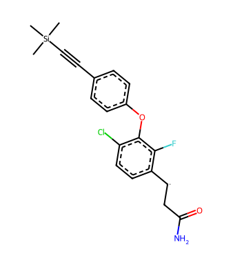 C[Si](C)(C)C#Cc1ccc(Oc2c(Cl)ccc([CH]CC(N)=O)c2F)cc1